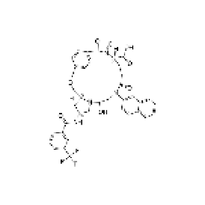 CN1C(=O)c2ccc(cc2)OC[C@@H]2C[C@@H](NC(=O)c3cccc(C(F)(F)F)c3)CN2C(O)CN(c2ccc3ccccc3c2)C(=O)CC[C@H]1C(=O)O